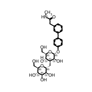 CNC(=O)Cc1cccc(-c2ccc(O[C@H]3O[C@H](CO)[C@@H](O)[C@H](C[C@H]4O[C@H](CO)[C@@H](O)[C@H](O)[C@@H]4O)[C@@H]3O)cc2)c1